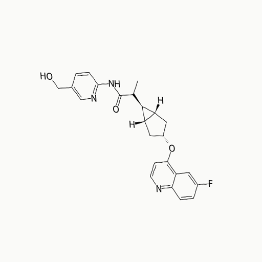 CC(C(=O)Nc1ccc(CO)cn1)[C@H]1[C@@H]2C[C@H](Oc3ccnc4ccc(F)cc34)C[C@@H]21